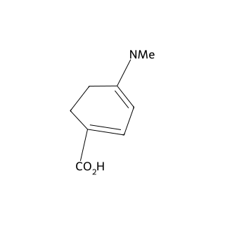 CNC1=CC=C(C(=O)O)CC1